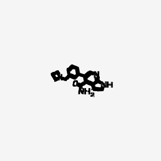 NC(=O)c1c(-c2cccc(CN3CCC3)c2)cnc2[nH]c[c]c12